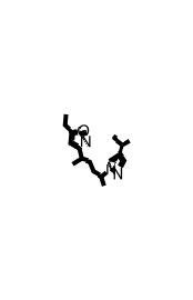 CCc1cc(C(C)CCC(C)n2cc(C(C)C)cn2)no1